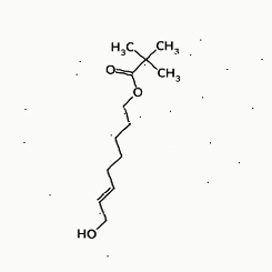 CC(C)(C)C(=O)OCCCCC/C=C/CO